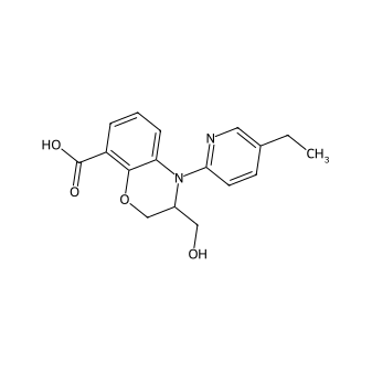 CCc1ccc(N2c3cccc(C(=O)O)c3OCC2CO)nc1